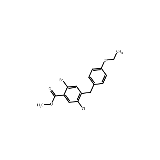 CCOc1ccc(Cc2cc(Br)c(C(=O)OC)cc2Cl)cc1